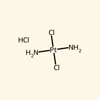 Cl.[NH2][Pt]([NH2])([Cl])[Cl]